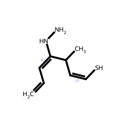 C=C/C=C(/NN)C(C)/C=C\S